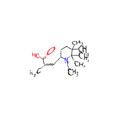 CC(=CC1CCC(C)(C)C(C)(C)N1C)C(=O)O